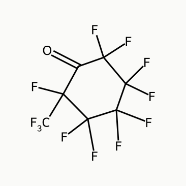 O=C1C(F)(F)C(F)(F)C(F)(F)C(F)(F)C1(F)C(F)(F)F